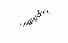 CCCc1ccc(C2CCC(CCc3ccc(CC)c(F)c3F)CC2)cc1F